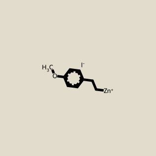 COc1ccc(C[CH2][Zn+])cc1.[I-]